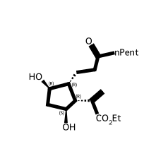 C=C(C(=O)OCC)[C@H]1[C@@H](CCC(=O)CCCCC)[C@H](O)C[C@@H]1O